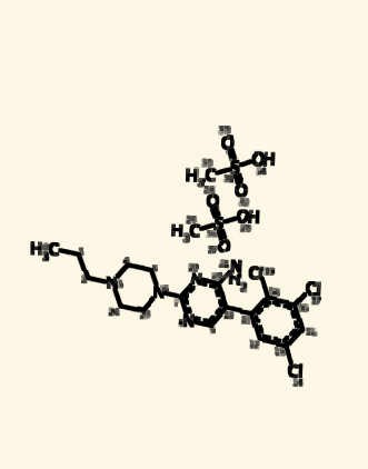 CCCN1CCN(c2ncc(-c3cc(Cl)cc(Cl)c3Cl)c(N)n2)CC1.CS(=O)(=O)O.CS(=O)(=O)O